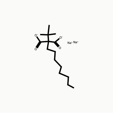 CCCCCCCCC(C(=O)[O-])(C(=O)[O-])C(C)(C)C.[Na+].[Na+]